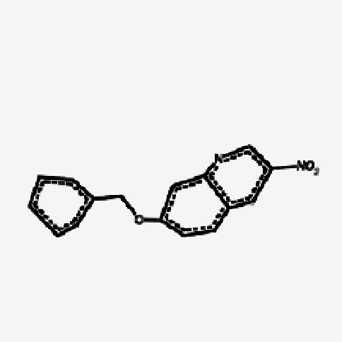 O=[N+]([O-])c1[c]c2ccc(OCc3ccccc3)cc2nc1